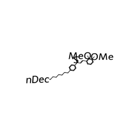 CCCCCCCCCCCCCCCCCc1ccc(C(=S)C=Cc2cccc(OC)c2OC)cc1